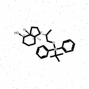 CC(CO[Si](c1ccccc1)(c1ccccc1)C(C)(C)C)[C@H]1CC[C@H]2[C@H](O)CCC[C@]12C